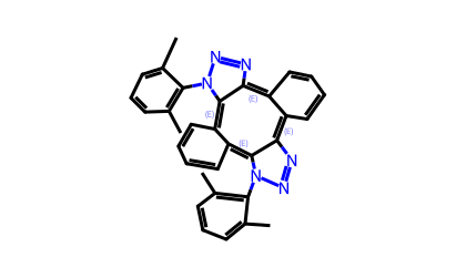 Cc1cccc(C)c1-n1nnc2/c1=c1/cccc/c1=c1/c(nnn1-c1c(C)cccc1C)=c1/cccc/c1=2